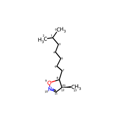 CC(C)CCCCCC1ON=C[C@@H]1C